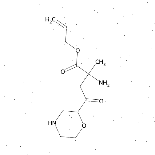 C=CCOC(=O)C(C)(N)CC(=O)C1CNCCO1